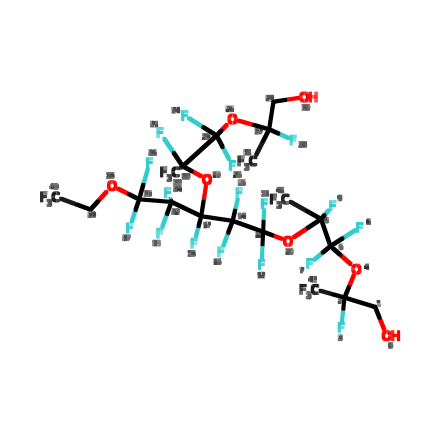 OCC(F)(OC(F)(F)C(F)(OC(F)(F)C(F)(F)C(F)(OC(F)(C(F)(F)F)C(F)(F)OC(F)(CO)C(F)(F)F)C(F)(F)C(F)(F)OCC(F)(F)F)C(F)(F)F)C(F)(F)F